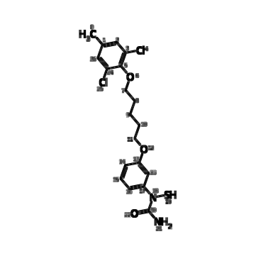 Cc1cc(Cl)c(OCCCCCOc2cccc(N(S)C(N)=O)c2)c(Cl)c1